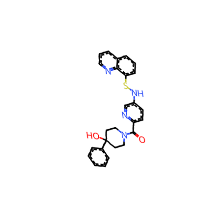 O=C(c1ccc(NSc2cccc3cccnc23)cn1)N1CCC(O)(c2ccccc2)CC1